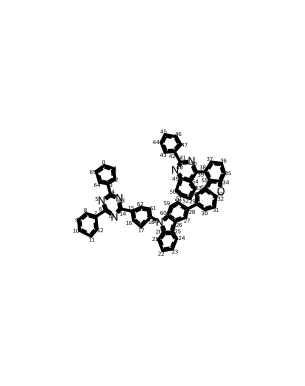 c1ccc(-c2nc(-c3ccccc3)nc(-c3ccc(-n4c5ccccc5c5cc(-c6ccc7oc8cccc(-c9nc(-c%10ccccc%10)nc%10ccccc9%10)c8c7c6)ccc54)cc3)n2)cc1